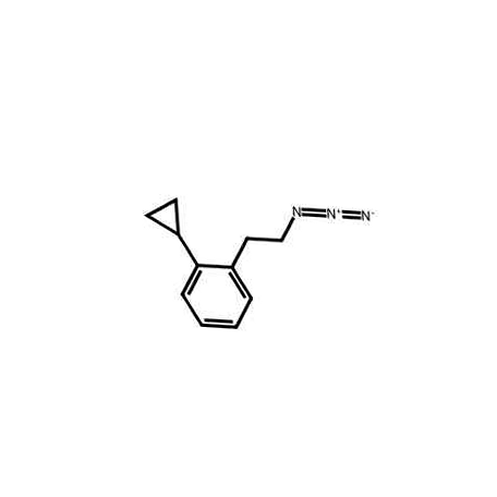 [N-]=[N+]=NCCc1ccccc1C1CC1